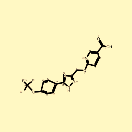 O=C(O)c1ccc(OCc2n[nH]c(-c3ccc(OC(F)(F)F)cc3)n2)nc1